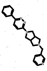 c1ccc(-c2ccc(N3CC4CN(Cc5cccnc5)CC4C3)nn2)cc1